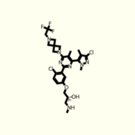 CNC[C@@H](O)COc1ccc(Cl)c(-c2nc(-c3c(C)c(Cl)nn3C)c(C)c(N3CC4(CN(CC(F)(F)F)C4)C3)n2)c1